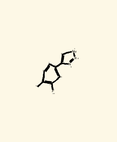 Cc1ccc(-c2c[nH]nn2)cc1F